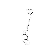 O=C1OC(CCCCCOCc2ccccc2)C1Cc1ccccc1